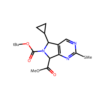 COC(=O)C1c2nc(SC)ncc2C(C2CC2)N1C(=O)OC(C)(C)C